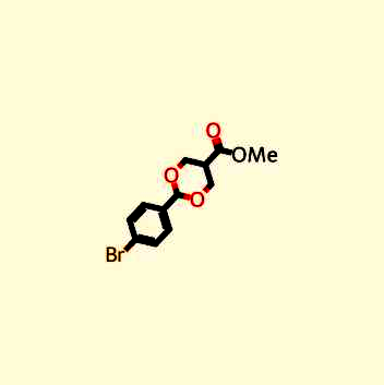 COC(=O)C1COC(c2ccc(Br)cc2)OC1